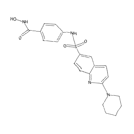 O=C(NO)c1ccc(NS(=O)(=O)c2ccc3nc(N4CCCCC4)ccc3c2)cc1